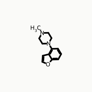 CN1CCN(c2cccc3occc23)CC1